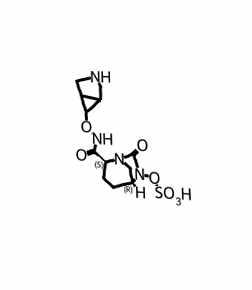 O=C(NOC1C2CNCC21)[C@@H]1CC[C@@H]2CN1C(=O)N2OS(=O)(=O)O